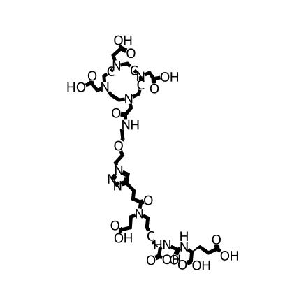 O=C(O)CC[C@H](NC(=O)N[C@@H](CCCCN(CCC(=O)O)C(=O)CCc1cn(CCOCCNC(=O)CN2CCN(CC(=O)O)CCN(CC(=O)O)CCN(CC(=O)O)CC2)nn1)C(=O)O)C(=O)O